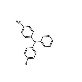 [Li][c]1ccc(N(c2ccccc2)c2ccc(C)cc2)cc1